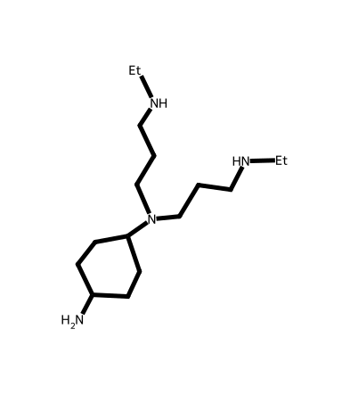 CCNCCCN(CCCNCC)C1CCC(N)CC1